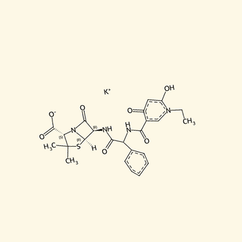 CCn1cc(C(=O)NC(C(=O)N[C@@H]2C(=O)N3[C@@H]2SC(C)(C)[C@@H]3C(=O)[O-])c2ccccc2)c(=O)cc1O.[K+]